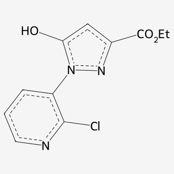 CCOC(=O)c1cc(O)n(-c2cccnc2Cl)n1